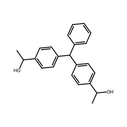 CC(O)c1ccc(C(c2ccccc2)c2ccc(C(C)O)cc2)cc1